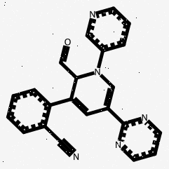 N#Cc1ccccc1C1=CC(c2ncccn2)=CN(c2cccnc2)C1C=O